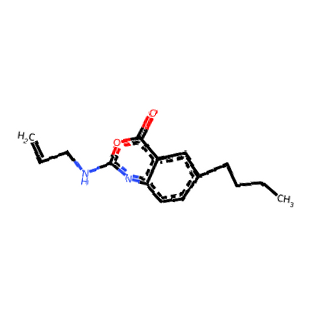 C=CCNc1nc2ccc(CCCC)cc2c(=O)o1